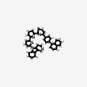 c1cc(-c2ccc(-c3cccc4ccccc34)cc2)nc(-c2cccc(-c3cccc(-n4c5ccccc5c5cnccc54)n3)n2)c1